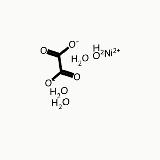 O.O.O.O.O=C([O-])C(=O)[O-].[Ni+2]